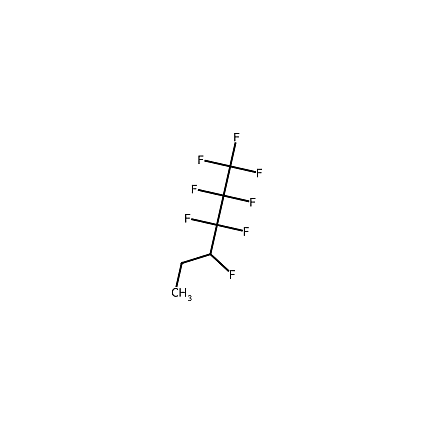 CCC(F)C(F)(F)C(F)(F)C(F)(F)F